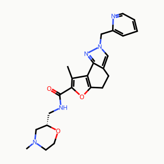 Cc1c(C(=O)NC[C@H]2CN(C)CCO2)oc2c1-c1nn(Cc3ccccn3)cc1CC2